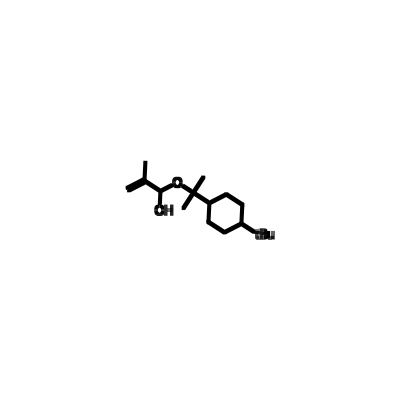 C=C(C)C(O)OC(C)(C)C1CCC(C(C)(C)C)CC1